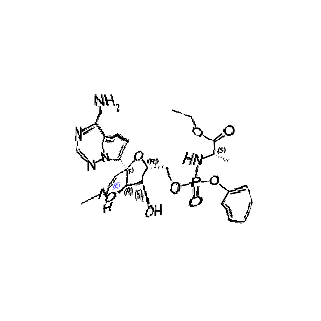 CCOC(=O)[C@H](C)NP(=O)(OC[C@H]1O[C@@](/C=N/C)(c2ccc3c(N)ncnn23)[C@H](O)[C@@H]1O)Oc1ccccc1